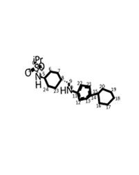 CC(C)S(=O)(=O)N[C@H]1CC[C@H](CNc2ccc(C3CCCCC3)cc2)CC1